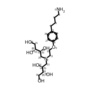 NCCCCc1ccc(OCCN(C[C@H](O)[C@H](O)CO)C[C@H](O)[C@H](O)CO)cc1